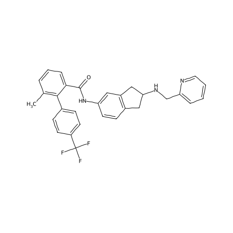 Cc1cccc(C(=O)Nc2ccc3c(c2)CC(NCc2ccccn2)C3)c1-c1ccc(C(F)(F)F)cc1